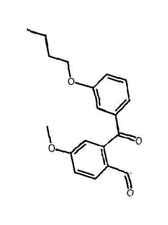 CCCCOc1cccc(C(=O)c2cc(OC)ccc2[C]=O)c1